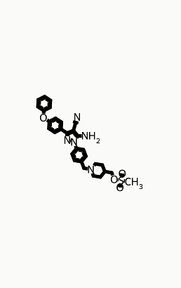 CS(=O)(=O)OCC1CCN(Cc2ccc(-n3nc(-c4ccc(Oc5ccccc5)cc4)c(C#N)c3N)cc2)CC1